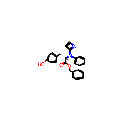 O=C(OCc1ccccc1)[C@H](Cc1ccc(O)cc1)N(C1=NC=C1)c1ccccc1